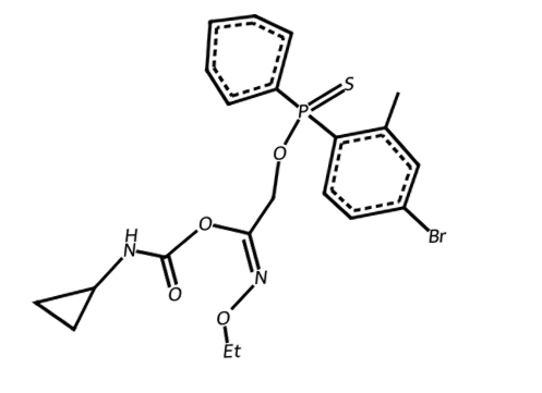 CCON=C(COP(=S)(c1ccccc1)c1ccc(Br)cc1C)OC(=O)NC1CC1